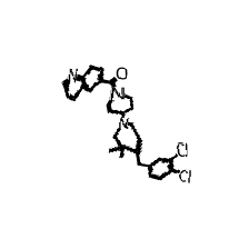 CC1(C)CN(C2CCN(C(=O)c3ccc4ncccc4c3)CC2)CCC1Cc1ccc(Cl)c(Cl)c1